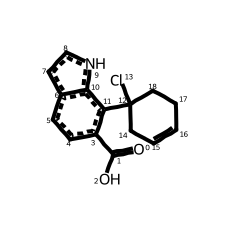 O=C(O)c1ccc2cc[nH]c2c1C1(Cl)CC=CCC1